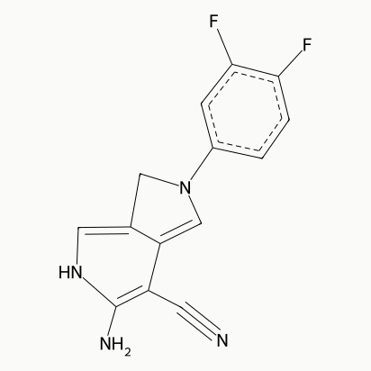 N#CC1=C(N)NC=C2CN(c3ccc(F)c(F)c3)C=C21